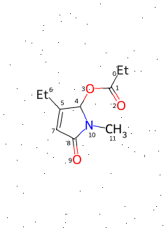 CCC(=O)OC1C(CC)=CC(=O)N1C